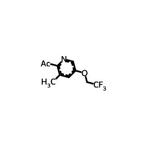 CC(=O)c1ncc(OCC(F)(F)F)cc1C